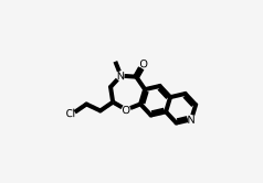 CN1CC(CCCl)Oc2cc3cnccc3cc2C1=O